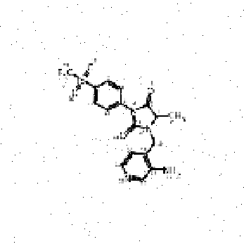 CC1C(=O)N(c2ccc(S(=O)(=O)C(F)(F)F)cc2)C(=O)N1Cc1ccncc1N